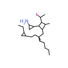 CCCC/C=C(/CCC1CC1CC)CC1C(C)C(C(C)I)C1C1CC1N